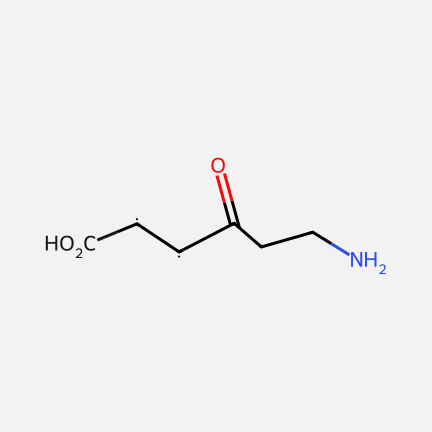 NCCC(=O)[CH][CH]C(=O)O